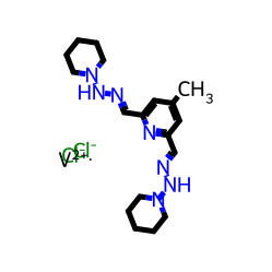 Cc1cc(C=NNN2CCCCC2)nc(C=NNN2CCCCC2)c1.[Cl-].[Cl-].[V+2]